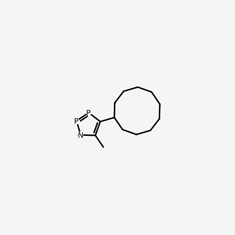 CC1=C(C2CCCCCCCCC2)P=P[N]1